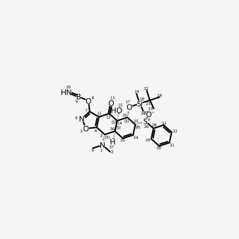 CN(C)[C@@H]1c2onc(OB=N)c2C(=O)[C@@]2(O)[C@H](O[Si](C)(C)C(C)(C)C)[C@H]([S+]([O-])c3ccccc3)C=C[C@@H]12